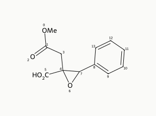 COC(=O)CC1(C(=O)O)OC1c1ccccc1